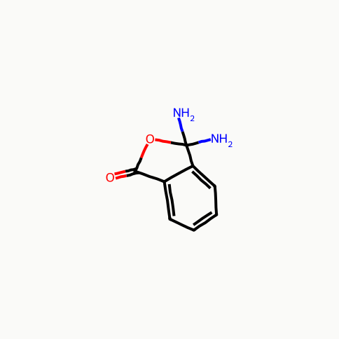 NC1(N)OC(=O)c2ccccc21